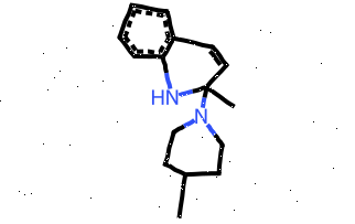 CC1CCN(C2(C)C=Cc3ccccc3N2)CC1